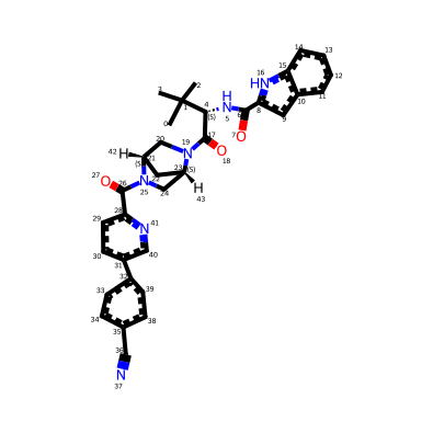 CC(C)(C)[C@H](NC(=O)c1cc2ccccc2[nH]1)C(=O)N1C[C@@H]2C[C@H]1CN2C(=O)c1ccc(-c2ccc(C#N)cc2)cn1